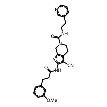 COc1cccc(CCC(=O)Nc2sc3c(c2C#N)CCN(C(=O)NCCc2cccnc2)C3)c1